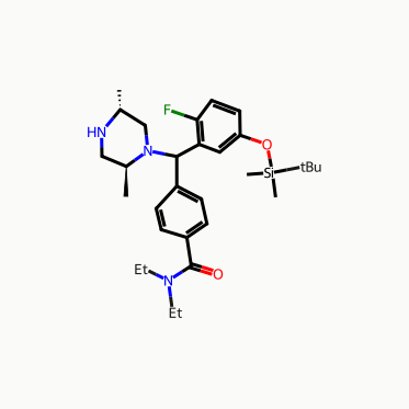 CCN(CC)C(=O)c1ccc(C(c2cc(O[Si](C)(C)C(C)(C)C)ccc2F)N2C[C@@H](C)NC[C@@H]2C)cc1